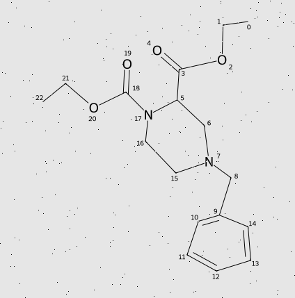 CCOC(=O)C1CN(Cc2ccccc2)CCN1C(=O)OCC